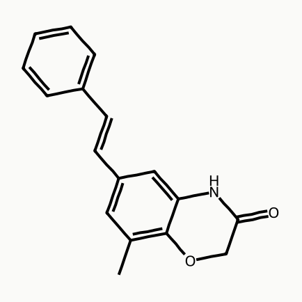 Cc1cc(C=Cc2ccccc2)cc2c1OCC(=O)N2